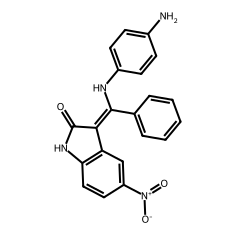 Nc1ccc(N/C(=C2\C(=O)Nc3ccc([N+](=O)[O-])cc32)c2ccccc2)cc1